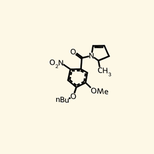 CCCCOc1cc([N+](=O)[O-])c(C(=O)N2C=CCC2C)cc1OC